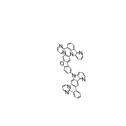 c1cnc(-c2ccccc2-c2ccc3c(c2)c2ncccc2n3-c2ccc3oc4ccc(-n5c6cccnc6c6cccc(-c7ncccn7)c65)cc4c3c2)nc1